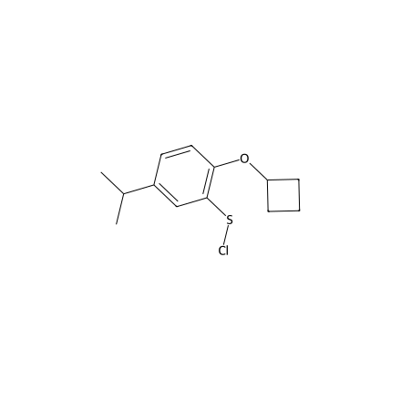 CC(C)c1ccc(OC2CCC2)c(SCl)c1